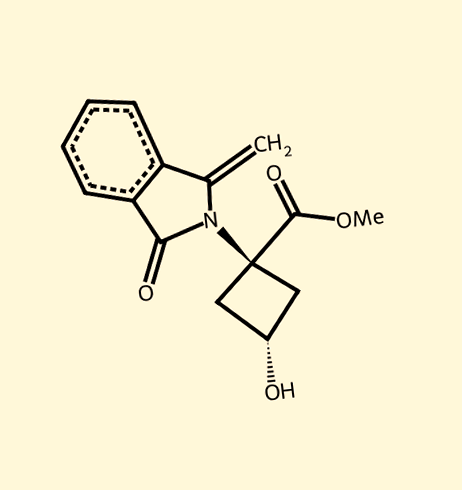 C=C1c2ccccc2C(=O)N1[C@]1(C(=O)OC)C[C@@H](O)C1